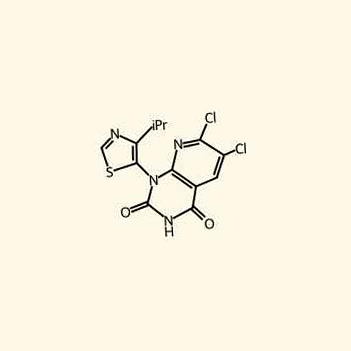 CC(C)c1ncsc1-n1c(=O)[nH]c(=O)c2cc(Cl)c(Cl)nc21